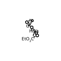 CCOC(=O)CC1CCN(C(=O)NCc2ccc(C(=O)N3Cc4cccn4Cc4ccccc43)cc2C)c2c(F)cccc21